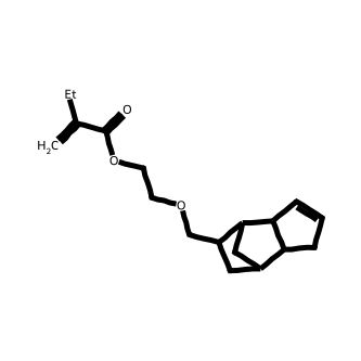 C=C(CC)C(=O)OCCOCC1CC2CC1C1C=CCC21